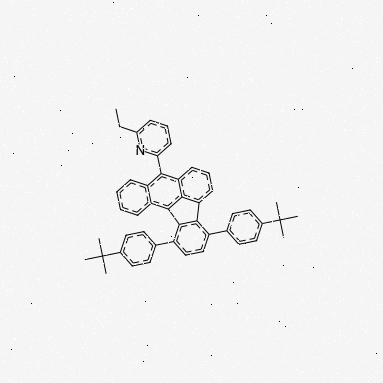 CCc1cccc(-c2c3ccccc3c3c4c(cccc24)-c2c(-c4ccc(C(C)(C)C)cc4)ccc(-c4ccc(C(C)(C)C)cc4)c2-3)n1